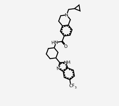 O=C(NC1CCCC(c2nc3cc(C(F)(F)F)ccc3[nH]2)C1)c1ccc2c(c1)CCN(CC1CC1)C2